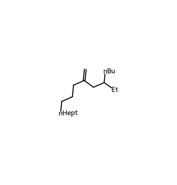 C=C(CCCCCCCCCC)CC(CC)CCCC